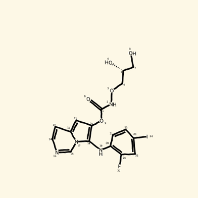 O=C(NOC[C@H](O)CO)Oc1cc2ccncn2c1Nc1ccc(I)cc1F